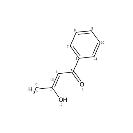 C/C(O)=C/C(=O)c1ccccc1